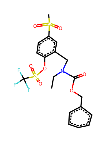 CCN(Cc1cc(S(C)(=O)=O)ccc1OS(=O)(=O)C(F)(F)F)C(=O)OCc1ccccc1